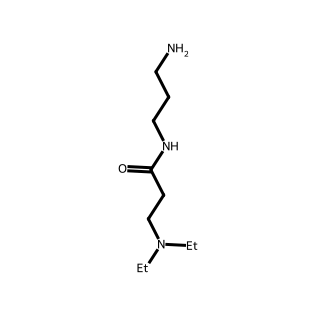 CCN(CC)CCC(=O)NCCCN